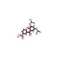 COC(=O)c1ccc2oc3c(SC(C)C)cc(SC(C)C)cc3c(=O)c2c1